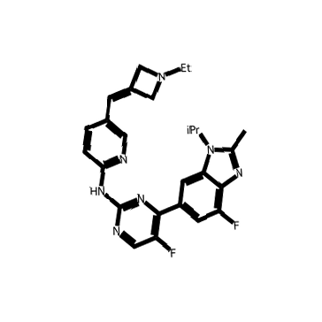 CCN1CC(=Cc2ccc(Nc3ncc(F)c(-c4cc(F)c5nc(C)n(C(C)C)c5c4)n3)nc2)C1